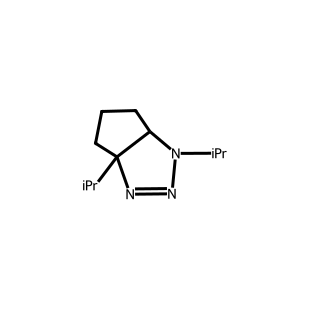 CC(C)N1N=NC2(C(C)C)CCCC12